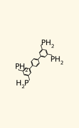 PCc1cc(CP)cc(-c2ccc(-c3cc(CP)cc(CP)c3)cc2)c1